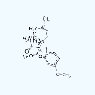 COc1ccc(C[C@@](C(N)=O)(C(=O)O)N(C)CCN(C)C)cc1.[Li]